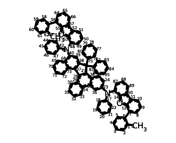 Cc1ccccc1-c1cccc2c1oc1c(N(c3ccccc3)c3ccc4c5c(c6ccccc6c4c3)-c3c(cc(N(c4ccccc4)c4cccc6c4oc4c(-c7ccccc7C)cccc46)c4ccccc34)C5(c3ccccc3)c3ccccc3)cccc12